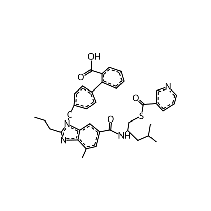 CCCc1nc2c(C)cc(C(=O)NC(CSC(=O)c3cccnc3)CC(C)C)cc2n1Cc1ccc(-c2ccccc2C(=O)O)cc1